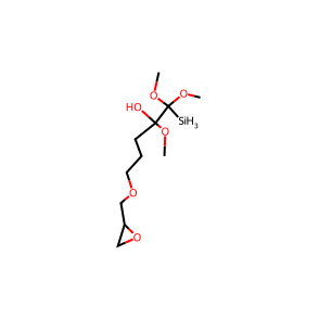 COC(O)(CCCOCC1CO1)C([SiH3])(OC)OC